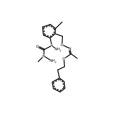 CC(=NOCc1c(C)cccc1N(N)C(=O)N(C)N)OCCc1ccccc1